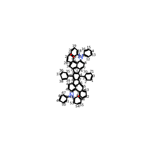 c1ccc(-c2c3c4ccc(N(c5ccccc5)c5ccccc5)c5c6ccccc6cc(c3c(-c3ccccc3)c3c6ccc(N(c7ccccc7)c7ccccc7)c7c8ccccc8cc(c23)c67)c45)cc1